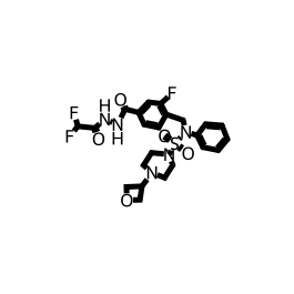 O=C(NNC(=O)C(F)F)c1ccc(CN(c2ccccc2)S(=O)(=O)N2CCN(C3COC3)CC2)c(F)c1